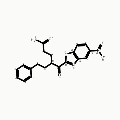 NC(=O)CC[C@H](CCc1ccccc1)C(=O)c1nc2cc([N+](=O)[O-])ccc2o1